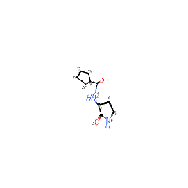 O=C(N[C@H]1CCNC1=O)C1CCCC1